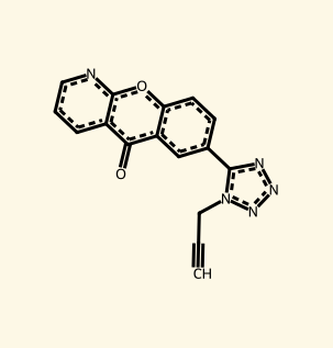 C#CCn1nnnc1-c1ccc2oc3ncccc3c(=O)c2c1